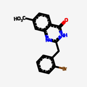 O=C(O)c1ccc2c(=O)[nH]c(Cc3ccccc3Br)nc2c1